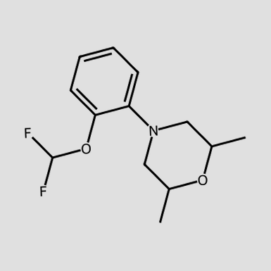 CC1CN(c2ccccc2OC(F)F)CC(C)O1